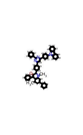 CC1CC(c2ccccc2)=CC2=C1c1c(oc3ccccc13)C(c1ccc(-c3cc(-c4ccc(-n5c6ccccc6c6ccccc65)cc4)nc(-c4ccccc4)n3)cc1)N2C